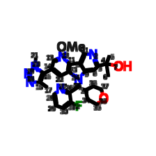 COc1nc(C(C)(C)O)cc2c1c1ncc(-c3c(C)nnn3C)cc1n2[C@@H](c1ncccc1F)C1CCOCC1